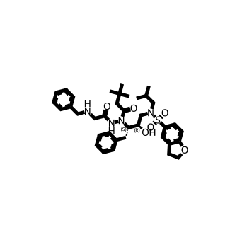 CC(C)CN(C[C@@H](O)[C@H](Cc1ccccc1)N(NC(=O)CNCc1ccccc1)C(=O)CC(C)(C)C)S(=O)(=O)c1ccc2c(c1)CCO2